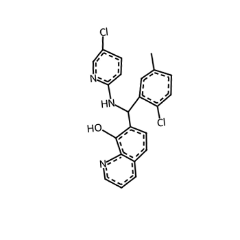 Cc1ccc(Cl)c(C(Nc2ccc(Cl)cn2)c2ccc3cccnc3c2O)c1